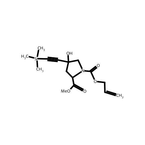 C=CCOC(=O)N1CC(O)(C#C[Si](C)(C)C)CC1C(=O)OC